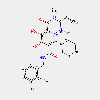 C=C[C@H]1N(C)C(=O)c2c(O)c(=O)c(C(=O)NCc3cccc(Cl)c3F)cn2N1CC1CCCCC1